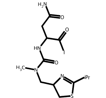 CC(C)C1=NC(CN(C)C(=O)NC(CC(N)=O)C(=O)I)CS1